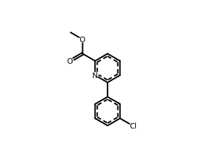 COC(=O)c1cccc(-c2cccc(Cl)c2)n1